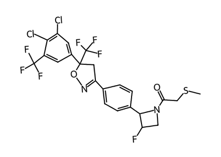 CSCC(=O)N1CC(F)C1c1ccc(C2=NOC(c3cc(Cl)c(Cl)c(C(F)(F)F)c3)(C(F)(F)F)C2)cc1